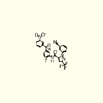 N#Cc1cccc(-n2nc(C(F)(F)F)cc2C(=O)Nc2cc(C(O)c3cccc([N+](=O)[O-])c3)ccc2F)c1